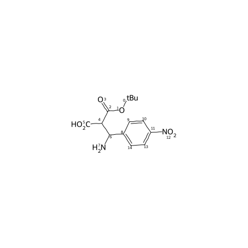 CC(C)(C)OC(=O)C(C(=O)O)C(N)c1ccc([N+](=O)[O-])cc1